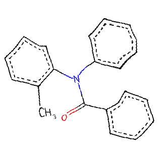 Cc1ccccc1N(C(=O)c1ccccc1)c1ccccc1